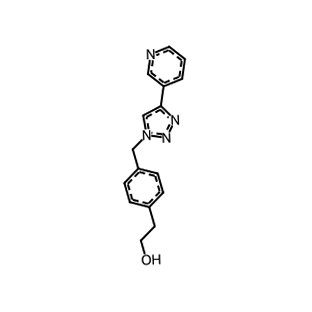 OCCc1ccc(Cn2cc(-c3cccnc3)nn2)cc1